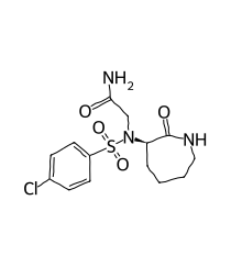 NC(=O)CN([C@@H]1CCCCNC1=O)S(=O)(=O)c1ccc(Cl)cc1